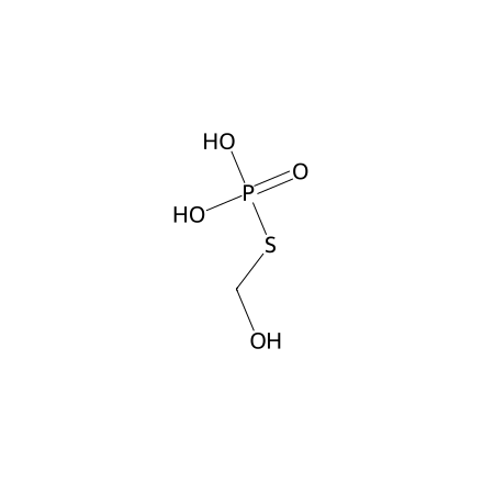 O=P(O)(O)SCO